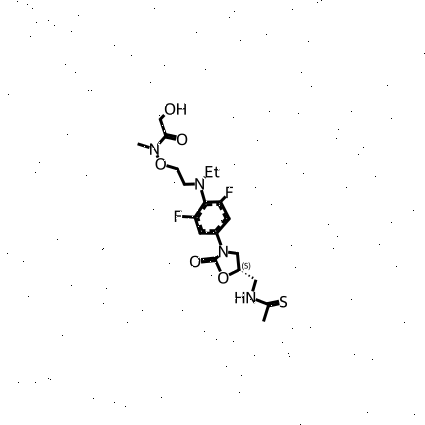 CCN(CCON(C)C(=O)CO)c1c(F)cc(N2C[C@H](CNC(C)=S)OC2=O)cc1F